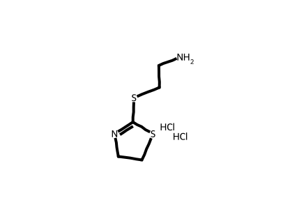 Cl.Cl.NCCSC1=NCCS1